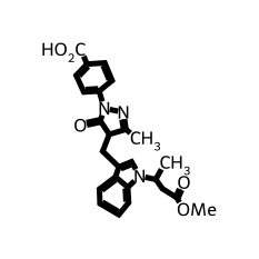 COC(=O)CC(C)n1cc(CC2C(=O)N(c3ccc(C(=O)O)cc3)N=C2C)c2ccccc21